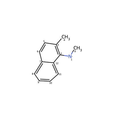 C[N]c1c(C)ccc2ccccc12